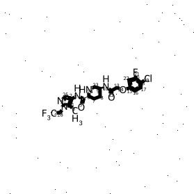 Cc1c(NC(=O)[C@H]2CC[C@H](NC(=O)COc3ccc(Cl)c(F)c3)CN2)cnn1CC(F)(F)F